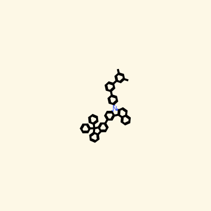 Cc1cc(C)cc(-c2cccc(-c3ccc(-n4c5ccc(-c6ccc7c(c6)C(c6ccccc6)(c6ccccc6)c6ccccc6-7)cc5c5c6ccccc6ccc54)cc3)c2)c1